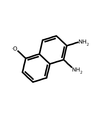 Nc1ccc2c([O])cccc2c1N